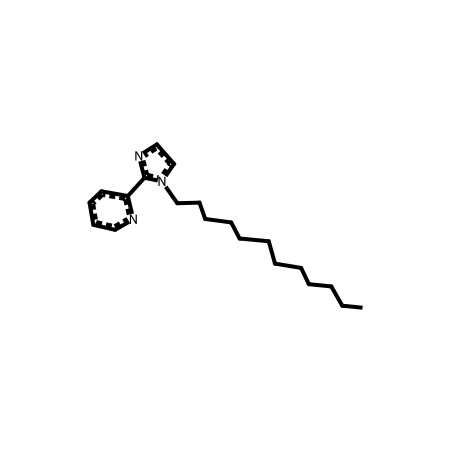 CCCCCCCCCCCCn1ccnc1-c1ccccn1